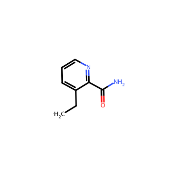 [CH2]Cc1cccnc1C(N)=O